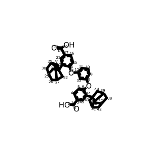 O=C(O)c1ccc(Oc2cccc(Oc3ccc(C(=O)O)cc3C34CC5CC(CC(C5)C3)C4)c2)c(C23CC4CC(CC(C4)C2)C3)c1